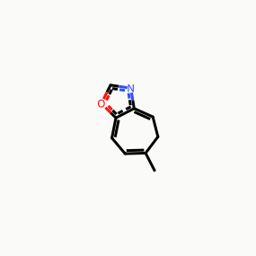 CC1=CC=c2ocnc2=CC1